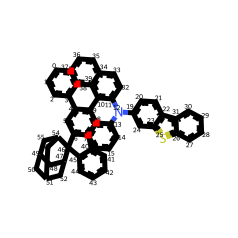 c1ccc(-c2cc3c(cc2-c2c(N(c4ccccc4)c4ccc5c(c4)sc4ccccc45)ccc4ccccc24)-c2ccccc2C32C3CC4CC(C3)CC2C4)cc1